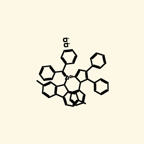 Cc1ccc2c(c1)[CH]([Zr+2]([C]1=CC(c3ccccc3)=C(c3ccccc3)C1c1ccccc1)=[C](c1ccccc1)c1ccccc1)c1cc(C)ccc1-2.[Cl-].[Cl-]